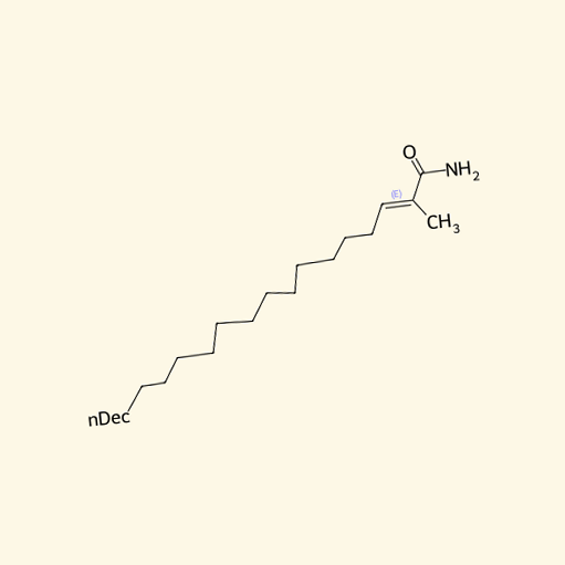 CCCCCCCCCCCCCCCCCCCCCC/C=C(\C)C(N)=O